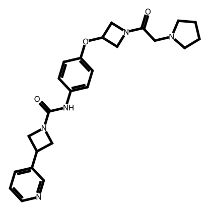 O=C(CN1CCCC1)N1CC(Oc2ccc(NC(=O)N3CC(c4cccnc4)C3)cc2)C1